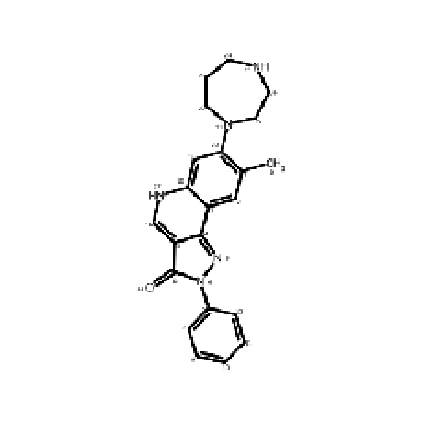 Cc1cc2c3nn(-c4ccccc4)c(=O)c-3c[nH]c2cc1N1CCCNCC1